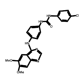 COc1cc2ncnc(Nc3ccc(NC(=O)Nc4ccc(Cl)cc4)cc3)c2cc1OC